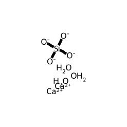 O.O.O.[Ca+2].[Ca+2].[O-][Si]([O-])([O-])[O-]